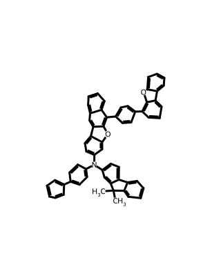 CC1(C)c2ccccc2-c2ccc(N(c3ccc(-c4ccccc4)cc3)c3ccc4c(c3)oc3c(-c5ccc(-c6cccc7c6oc6ccccc67)cc5)c5ccccc5cc34)cc21